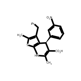 CC1=C(C(=O)O)[C@H](c2cccc([N+](=O)[O-])c2)c2c(sc(C)c2CC(C)C)N1